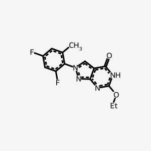 CCOc1nc2nn(-c3c(C)cc(F)cc3F)cc2c(=O)[nH]1